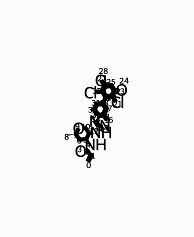 C=CC(=O)N[C@H]1C[C@H](C)OC[C@H]1Nc1ncc2cc(-c3c(Cl)c(OC)cc(OC)c3Cl)ccc2n1